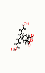 O=C1OC(=O)[C@@H]2CC=CC[C@H]12.OCCCCCCCCCCO